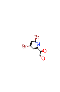 O=CC(=O)c1cc(Br)cc(Br)n1